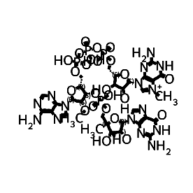 CO[C@H]1[C@@H](OP(=O)(O)OC[C@@]2(C)O[C@@H](n3cnc4c(=O)[nH]c(N)nc43)[C@@H](O)[C@H]2O)[C@@H](COP(=O)(O)OP(=O)(O)OP(=O)(O)OC[C@@H]2O[C@H](n3c[n+](C)c4c(=O)[nH]c(N)nc43)C(O)C2O)O[C@H]1n1cnc2c(N)ncnc21